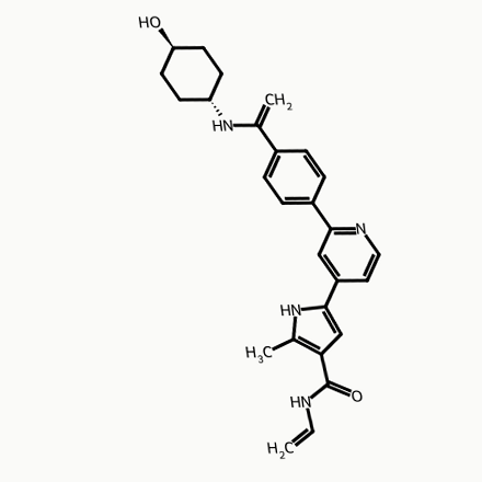 C=CNC(=O)c1cc(-c2ccnc(-c3ccc(C(=C)N[C@H]4CC[C@H](O)CC4)cc3)c2)[nH]c1C